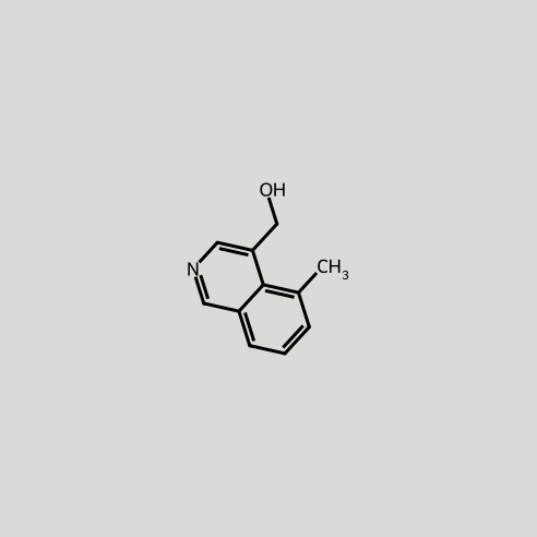 Cc1cccc2cncc(CO)c12